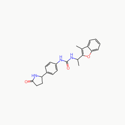 Cc1c(C(C)NC(=O)Nc2ccc(C3CCC(=O)N3)cc2)oc2ccccc12